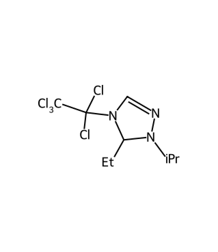 CCC1N(C(C)C)N=CN1C(Cl)(Cl)C(Cl)(Cl)Cl